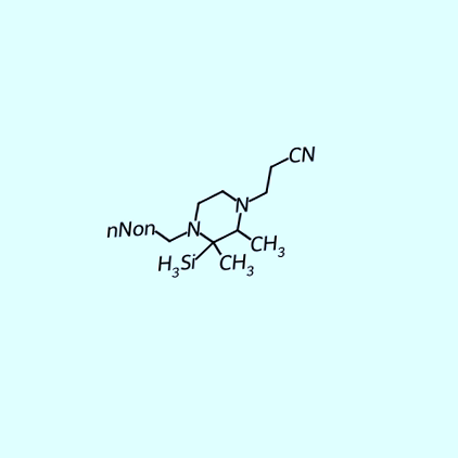 CCCCCCCCCCN1CCN(CCC#N)C(C)C1(C)[SiH3]